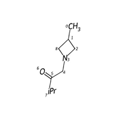 CC1CN(CC(=O)C(C)C)C1